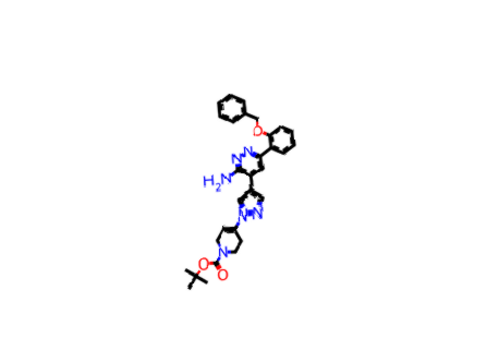 CC(C)(C)OC(=O)N1CC=C(n2cc(-c3cc(-c4ccccc4OCc4ccccc4)nnc3N)cn2)CC1